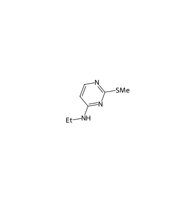 CCNc1ccnc(SC)n1